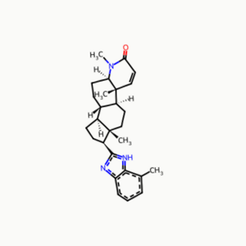 Cc1cccc2nc([C@H]3CC[C@H]4[C@@H]5CC[C@H]6N(C)C(=O)C=C[C@]6(C)[C@H]5CC[C@]34C)[nH]c12